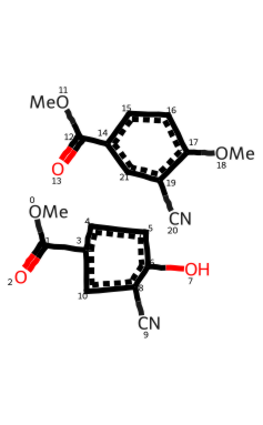 COC(=O)c1ccc(O)c(C#N)c1.COC(=O)c1ccc(OC)c(C#N)c1